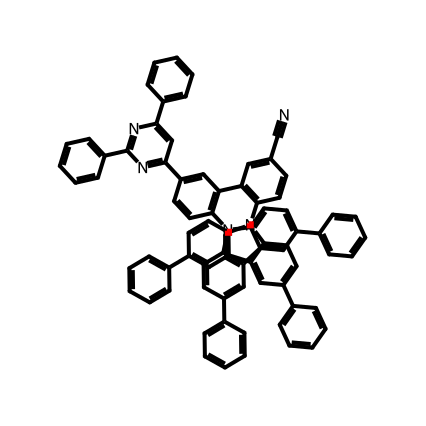 N#Cc1ccc(-n2c3ccc(-c4ccccc4)cc3c3cc(-c4ccccc4)ccc32)c(-c2cc(-c3cc(-c4ccccc4)nc(-c4ccccc4)n3)ccc2-n2c3ccc(-c4ccccc4)cc3c3cc(-c4ccccc4)ccc32)c1